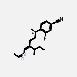 C/C=N\C=C(\CC[C@@H](C)c1ccc(C#N)cc1F)C(C)CC